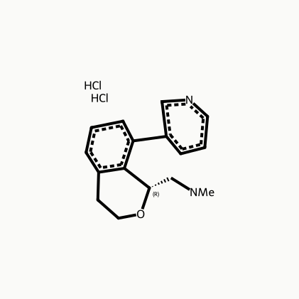 CNC[C@@H]1OCCc2cccc(-c3cccnc3)c21.Cl.Cl